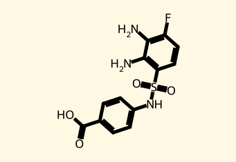 Nc1c(F)ccc(S(=O)(=O)Nc2ccc(C(=O)O)cc2)c1N